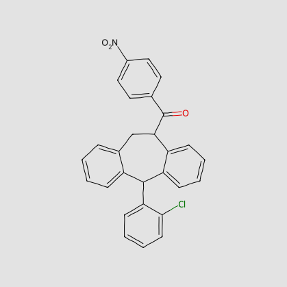 O=C(c1ccc([N+](=O)[O-])cc1)C1Cc2ccccc2C(c2ccccc2Cl)c2ccccc21